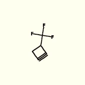 FC(F)(F)C1C#CC1